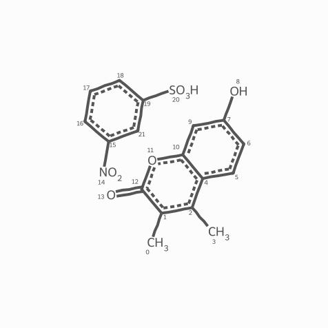 Cc1c(C)c2ccc(O)cc2oc1=O.O=[N+]([O-])c1cccc(S(=O)(=O)O)c1